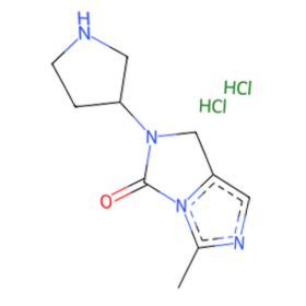 Cc1ncc2n1C(=O)N(C1CCNC1)C2.Cl.Cl